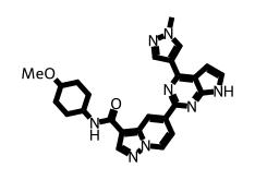 COC1CCC(NC(=O)c2cnn3ccc(-c4nc(-c5cnn(C)c5)c5cc[nH]c5n4)cc23)CC1